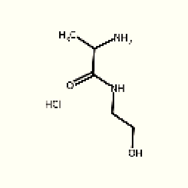 CC(N)C(=O)NCCO.Cl